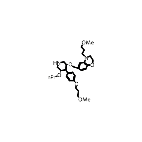 CCCO[C@@H]1CNC[C@H](OCc2ccc3c(c2)N(CCCOC)CCO3)C1c1ccc(OCCCOC)cc1